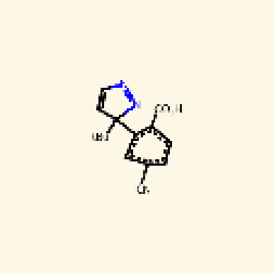 CC(C)(C)C1(c2cc(C#N)ccc2C(=O)O)C=CN=N1